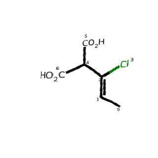 CC=C(Cl)C(C(=O)O)C(=O)O